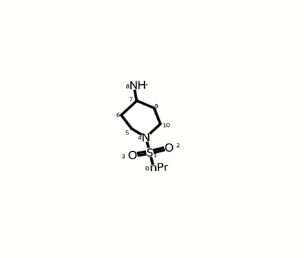 CCCS(=O)(=O)N1CCC([NH])CC1